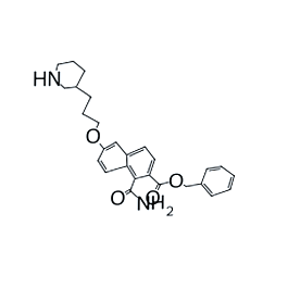 NC(=O)c1c(C(=O)OCc2ccccc2)ccc2cc(OCCCC3CCCNC3)ccc12